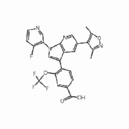 Cc1noc(C)c1-c1cnc2c(c1)c(-c1ccc(C(=O)O)cc1OC(F)(F)F)cn2-c1cnccc1F